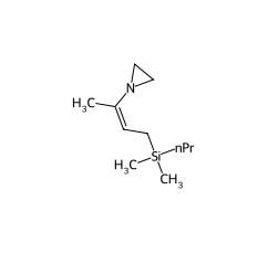 CCC[Si](C)(C)C/C=C(/C)N1CC1